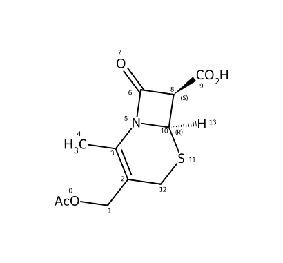 CC(=O)OCC1=C(C)N2C(=O)[C@@H](C(=O)O)[C@H]2SC1